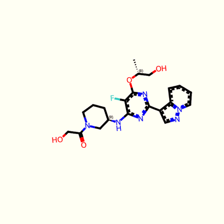 C[C@H](CO)Oc1nc(-c2cnn3ccccc23)nc(N[C@@H]2CCCN(C(=O)CO)C2)c1F